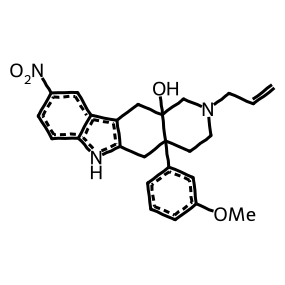 C=CCN1CCC2(c3cccc(OC)c3)Cc3[nH]c4ccc([N+](=O)[O-])cc4c3CC2(O)C1